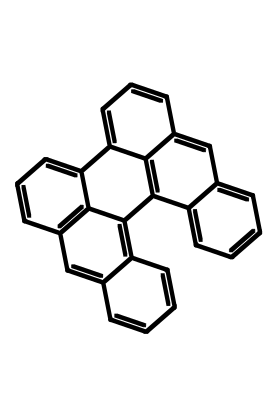 c1ccc2c(c1)cc1cccc3c4cccc5cc6ccccc6c(c54)c2c13